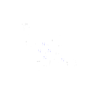 C=CCc1cccc(-c2nc(-c3ccccc3)nc(-n3c4ccccc4c4ccc5c(c6ccccc6n5-c5ccccc5)c43)n2)c1